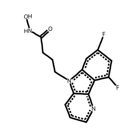 O=C(CCCn1c2cccnc2c2c(F)cc(F)cc21)NO